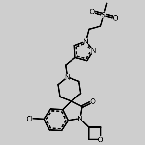 CS(=O)(=O)CCn1cc(CN2CCC3(CC2)C(=O)N(C2COC2)c2ccc(Cl)cc23)cn1